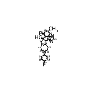 Cc1ccc(C(O)(CN2CCCN(c3ccc(F)cc3)CC2)Cn2cncn2)c(F)c1